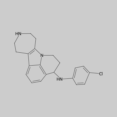 Clc1ccc(NC2CCn3c4c(c5cccc2c53)CCNCC4)cc1